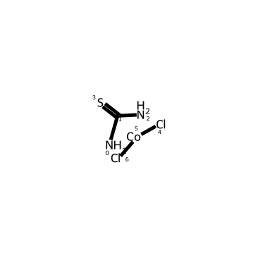 NC(N)=S.[Cl][Co][Cl]